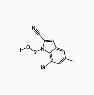 Cc1cc(Br)c2c(c1)cc(C#N)n2SOI